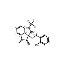 CN1C(=O)C(OC(=O)c2ccccc2Br)(C(=O)NC(C)(C)C)c2ccccc21